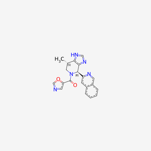 C[C@H]1CN(C(=O)c2cnco2)[C@H](c2cc3ccccc3cn2)c2nc[nH]c21